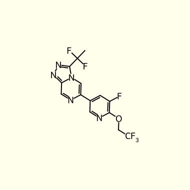 CC(F)(F)c1nnc2cnc(-c3cnc(OCC(F)(F)F)c(F)c3)cn12